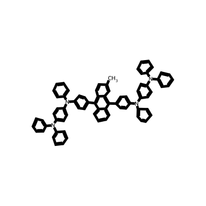 Cc1ccc2c(-c3ccc(N(c4ccccc4)c4ccc(N(c5ccccc5)c5ccccc5)cc4)cc3)c3ccccc3c(-c3ccc(N(c4ccccc4)c4ccc(N(c5ccccc5)c5ccccc5)cc4)cc3)c2c1